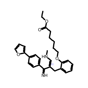 CCOC(=O)CCCCCOc1ccccc1C/C(=C/NC)C(=N)c1ccc(-c2ccco2)cc1